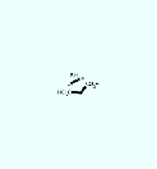 O=C(O)CC(=O)O.[KH].[Li][CH](C)C